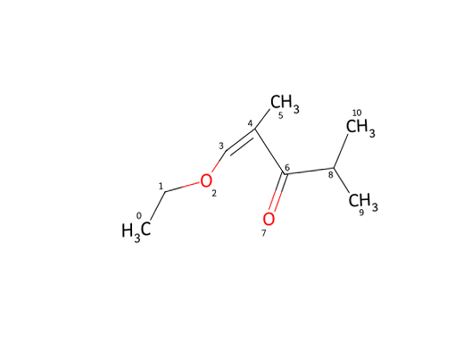 CCOC=C(C)C(=O)C(C)C